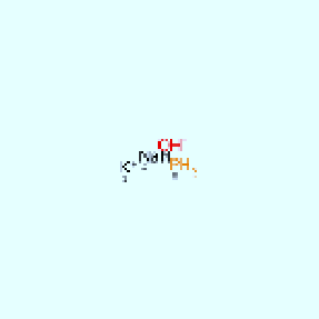 P.[K+].[NaH].[OH-]